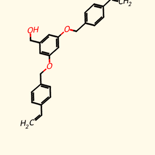 C=Cc1ccc(COc2cc(CO)cc(OCc3ccc(C=C)cc3)c2)cc1